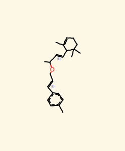 CC1=CCCC(C)(C)C1/C=C/C(C)OC/C=C/c1ccc(C)cc1